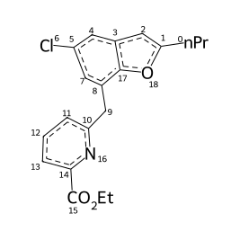 CCCc1cc2cc(Cl)cc(Cc3cccc(C(=O)OCC)n3)c2o1